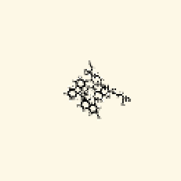 C=CC(=O)N1CCN(c2nc(OCCN(C)C)nc3c2CCN(c2cc(C)cc4ccccc24)C3)C(CCO[Si](c2ccccc2)(c2ccccc2)C(C)(C)C)C1